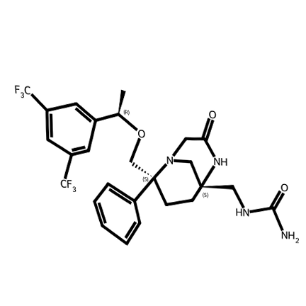 C[C@@H](OC[C@@]1(c2ccccc2)CC[C@]2(CNC(N)=O)CN1CC(=O)N2)c1cc(C(F)(F)F)cc(C(F)(F)F)c1